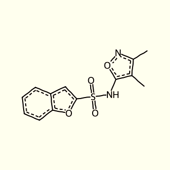 Cc1noc(NS(=O)(=O)c2cc3ccccc3o2)c1C